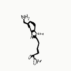 NCc1ccc2[nH]c(CCCC(=O)O)nc2c1